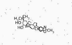 Cc1nc2cc(C3=CCC4[C@]3(C)CC=C3C5CC56[C@@H](O)[C@H](O)[C@@H](N(C)C)C[C@]65CC[C@@]34O5)ccc2o1